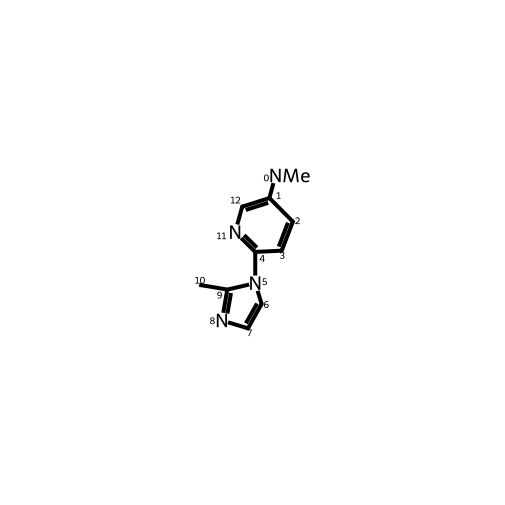 CNc1ccc(-n2ccnc2C)nc1